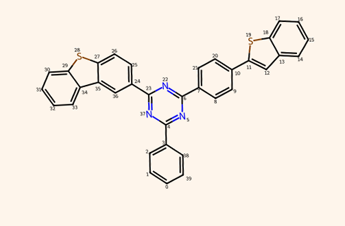 c1ccc(-c2nc(-c3ccc(-c4cc5ccccc5s4)cc3)nc(-c3ccc4sc5ccccc5c4c3)n2)cc1